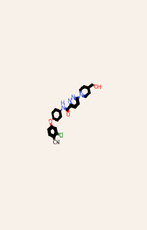 N#Cc1ccc(O[C@H]2CC[C@H](NC(=O)c3ccc(N4CCC(CO)CC4)nn3)CC2)cc1Cl